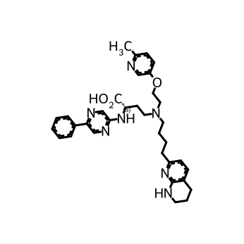 Cc1ccc(OCCN(CCCCc2ccc3c(n2)NCCC3)CC[C@H](Nc2cnc(-c3ccccc3)cn2)C(=O)O)cn1